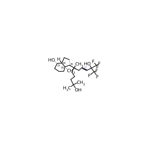 CC(C)(O)CCC[C@@](C)(C/C=C/C(O)(C(F)(F)F)C(F)(F)F)[C@H]1CC[C@H]2[C@@H](O)CCC[C@]12C